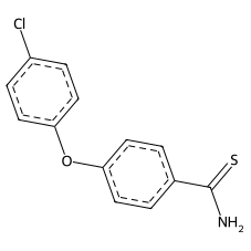 NC(=S)c1ccc(Oc2ccc(Cl)cc2)cc1